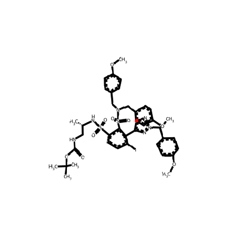 COc1ccc(CN(Cc2ccc(OC)cc2)S(=O)(=O)c2c(S(=O)(=O)N[C@@H](C)CNC(=O)OC(C)(C)C)ccc(I)c2-c2nnn(Cc3ccc(OC)cc3)n2)cc1